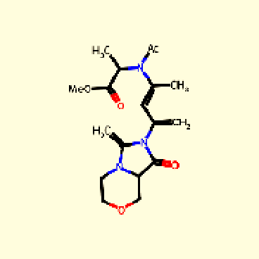 C=C(/C=C(\C)N(C(C)=O)C(C)C(=O)OC)N1C(=C)N2CCOCC2C1=O